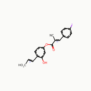 N#C/C(=C\c1ccc(I)cc1)C(=O)Oc1ccc(/C=C/C(=O)O)c(O)c1